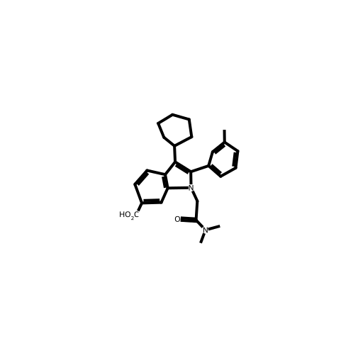 Cc1cccc(-c2c(C3CCCCC3)c3ccc(C(=O)O)cc3n2CC(=O)N(C)C)c1